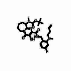 C=CCCN(C)c1cc(F)ccc1CNC(=O)c1nc2n(c(=O)c1O)CCCCC2N(C)C(=O)OC(C)(C)C